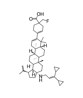 C=C(C)[C@@H]1CC[C@]2(NCC=C(C3CC3)C3CC3)CC[C@]3(C)[C@H](CC[C@@H]4[C@@]5(C)CC=C(C6=CCC(CF)(C(=O)O)CC6)C(C)(C)[C@@H]5CC[C@]43C)[C@@H]12